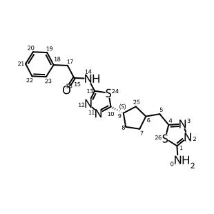 Nc1nnc(CC2CC[C@H](c3nnc(NC(=O)Cc4ccccc4)s3)C2)s1